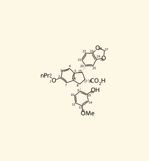 CCCOc1ccc2c(c1)[C@@H](c1ccc(OC)cc1O)[C@@H](C(=O)O)[C@H]2c1ccc2c(c1)OCO2